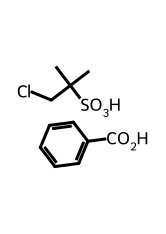 CC(C)(CCl)S(=O)(=O)O.O=C(O)c1ccccc1